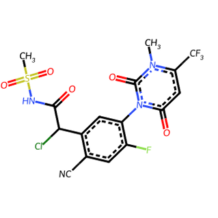 Cn1c(C(F)(F)F)cc(=O)n(-c2cc(C(Cl)C(=O)NS(C)(=O)=O)c(C#N)cc2F)c1=O